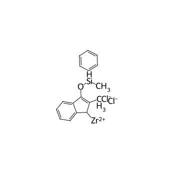 CC1=C(O[SiH](C)c2ccccc2)c2ccccc2[CH]1[Zr+2].[Cl-].[Cl-]